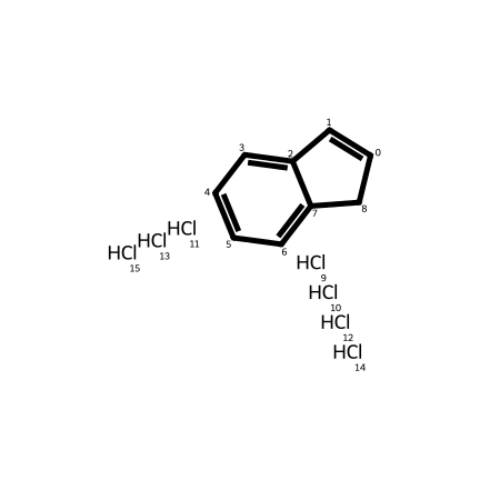 C1=Cc2ccccc2C1.Cl.Cl.Cl.Cl.Cl.Cl.Cl